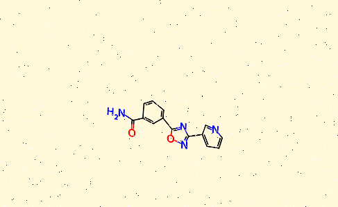 NC(=O)c1cccc(-c2nc(-c3cccnc3)no2)c1